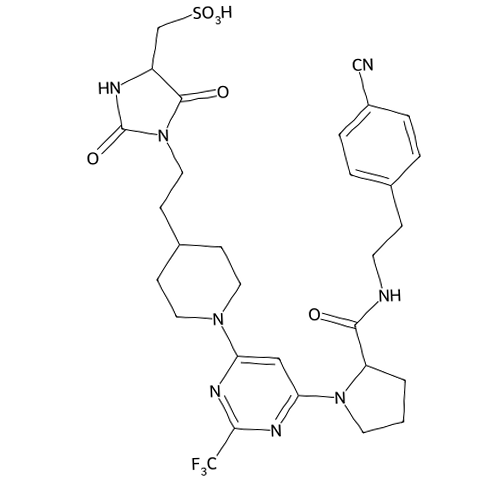 N#Cc1ccc(CCNC(=O)C2CCCN2c2cc(N3CCC(CCN4C(=O)NC(CS(=O)(=O)O)C4=O)CC3)nc(C(F)(F)F)n2)cc1